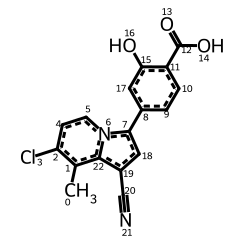 Cc1c(Cl)ccn2c(-c3ccc(C(=O)O)c(O)c3)cc(C#N)c12